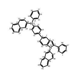 c1ccc(-c2cc3cc(-c4ccc(N(c5ccccc5)c5ccc6ccccc6c5)cc4)ccc3n2-c2ccc3ccccc3c2)cc1